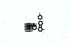 Cc1cccc2c1=c1ccccc1=2.Cc1ccccc1.Cc1ccccc1.N=C=O.N=C=O.N=C=O.N=C=O